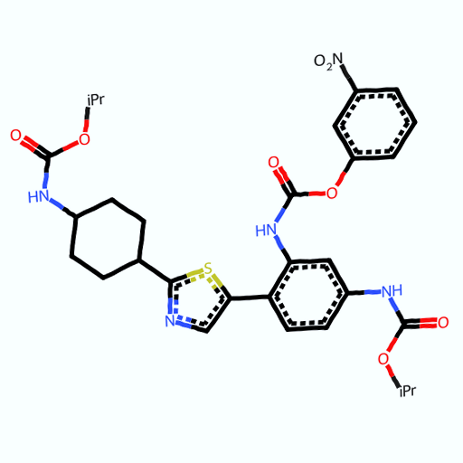 CC(C)OC(=O)Nc1ccc(-c2cnc(C3CCC(NC(=O)OC(C)C)CC3)s2)c(NC(=O)Oc2cccc([N+](=O)[O-])c2)c1